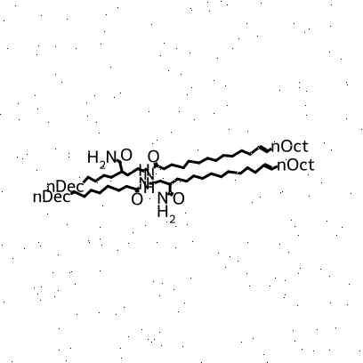 CCCCCCCCC=CCCCCCCCCCCC(CCNC(=O)CCCCCCCCCCCCCCCCC)C(N)=O.CCCCCCCCC=CCCCCCCCCCCCC(=O)NCCC(CCCCCCCCCCCCCC)C(N)=O